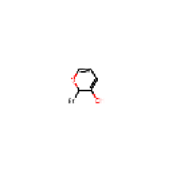 CCC1OC=CC=C1O